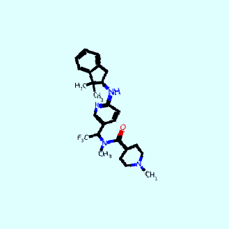 CN1CCC(C(=O)N(C)C(c2ccc(NC3Cc4ccccc4C3(C)C)nc2)C(F)(F)F)CC1